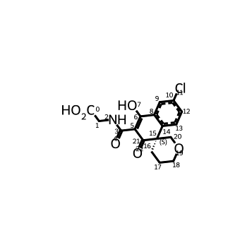 O=C(O)CNC(=O)C1=C(O)c2cc(Cl)ccc2[C@]2(CCCOC2)C1=O